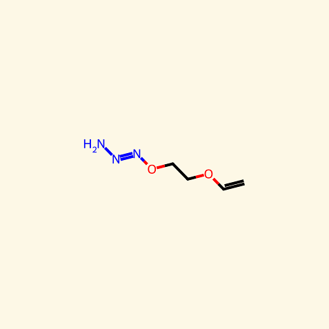 C=COCCON=NN